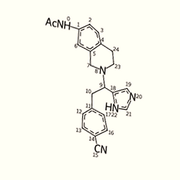 CC(=O)Nc1ccc2c(c1)CN(C(Cc1ccc(C#N)cc1)c1cnc[nH]1)CC2